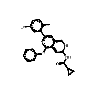 CCc1ccc(C)c(-c2cc3c(c(Oc4ccccc4)n2)=CC(NC(=O)C2CC2)NC=3)c1